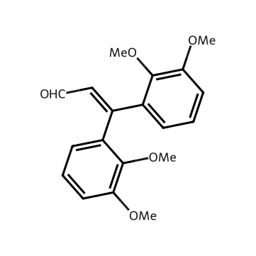 COc1cccc(C(=CC=O)c2cccc(OC)c2OC)c1OC